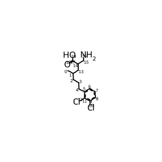 CC(CCCc1cccc(Cl)c1Cl)CC(CN)C(=O)O